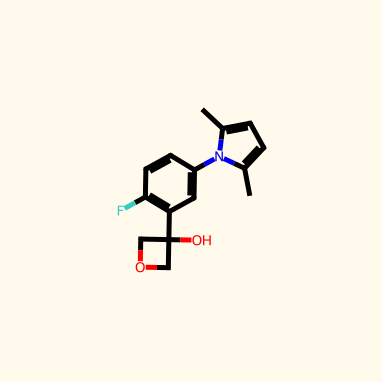 Cc1ccc(C)n1-c1ccc(F)c(C2(O)COC2)c1